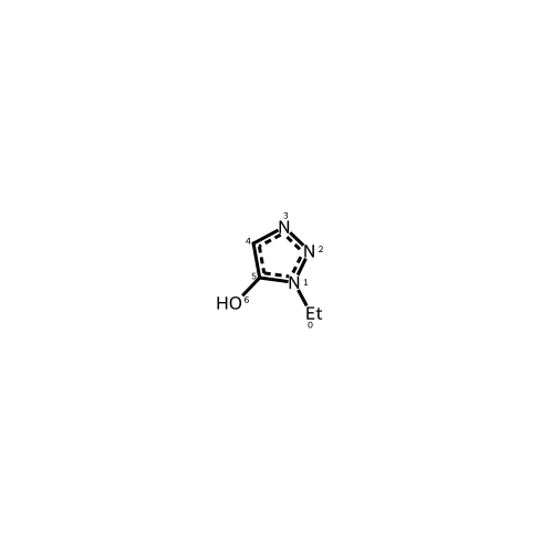 CCn1nncc1O